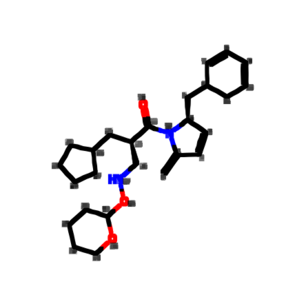 C=C1C=C[C@H](CC2C=CC=CC2)N1C(=O)[C@@H](CNOC1CCCCO1)CC1CCCC1